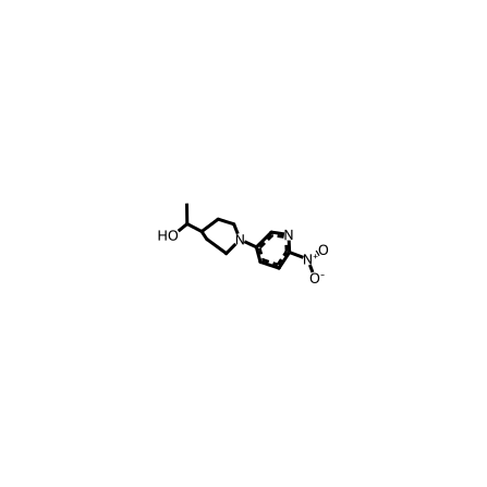 CC(O)C1CCN(c2ccc([N+](=O)[O-])nc2)CC1